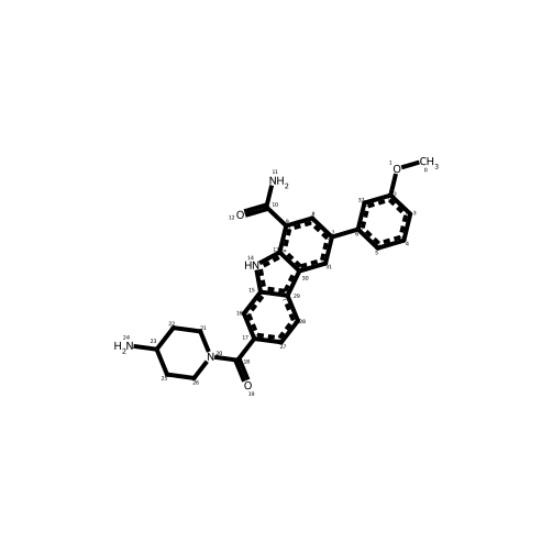 COc1cccc(-c2cc(C(N)=O)c3[nH]c4cc(C(=O)N5CCC(N)CC5)ccc4c3c2)c1